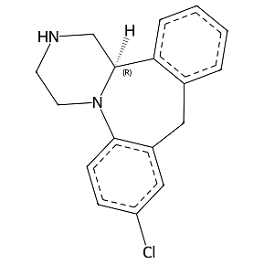 Clc1ccc2c(c1)Cc1ccccc1[C@@H]1CNCCN21